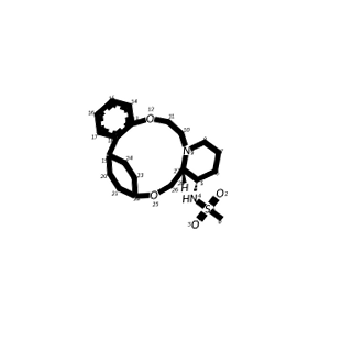 CS(=O)(=O)N[C@H]1CCCN2CCOc3ccccc3C3CCC(CC3)OC[C@@H]12